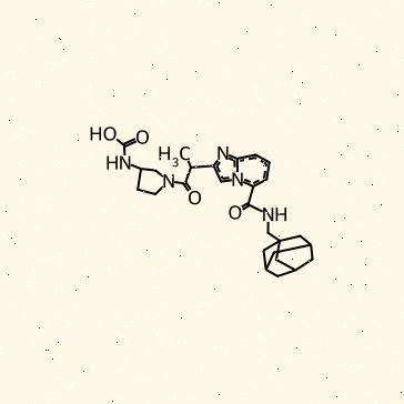 CC(C(=O)N1CCC(NC(=O)O)C1)c1cn2c(C(=O)NCC34CC5CC(CC(C5)C3)C4)cccc2n1